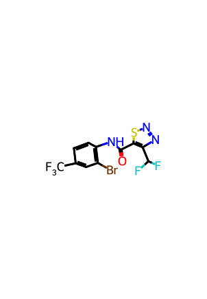 O=C(Nc1ccc(C(F)(F)F)cc1Br)c1snnc1C(F)F